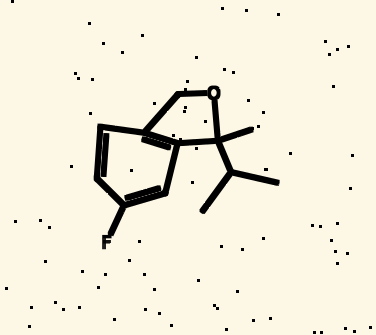 CC(C)C1(C)OCc2ccc(F)cc21